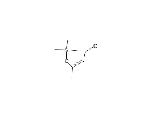 CC(=CCCl)O[Si](C)(C)C